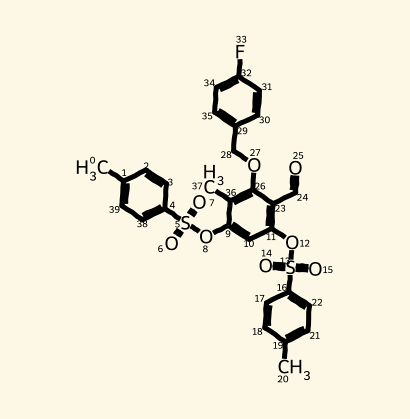 Cc1ccc(S(=O)(=O)Oc2cc(OS(=O)(=O)c3ccc(C)cc3)c(C=O)c(OCc3ccc(F)cc3)c2C)cc1